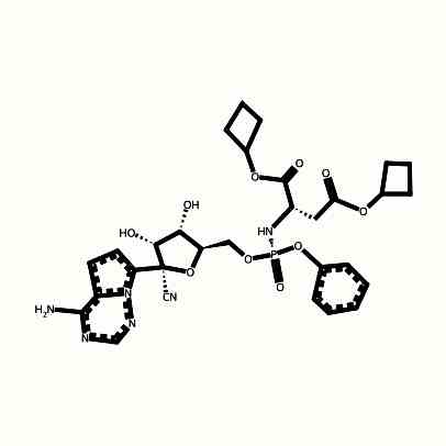 N#C[C@@]1(c2ccc3c(N)ncnn23)O[C@H](CO[P@@](=O)(N[C@@H](CC(=O)OC2CCC2)C(=O)OC2CCC2)Oc2ccccc2)[C@@H](O)[C@H]1O